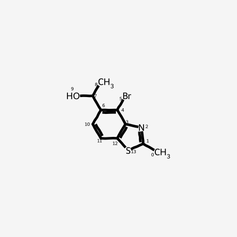 Cc1nc2c(Br)c(C(C)O)ccc2s1